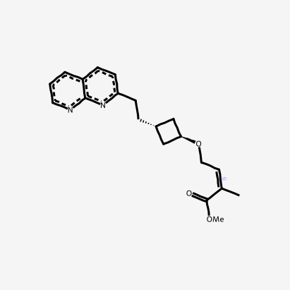 COC(=O)/C(C)=C\CO[C@H]1C[C@H](CCc2ccc3cccnc3n2)C1